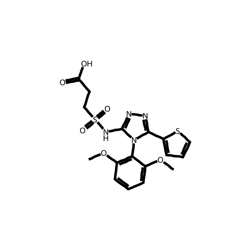 COc1cccc(OC)c1-n1c(NS(=O)(=O)CCC(=O)O)nnc1-c1cccs1